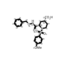 COc1ccc(S(=O)(=O)N2CC[C@@H](C(=O)O)C[C@@H]2C(=O)NOCc2ccccc2)cc1